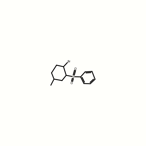 CC1CCC(Br)C(S(=O)(=O)c2ccccc2)C1